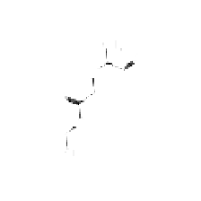 CCOC(=O)COC(C)C=O